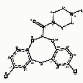 CN1CCN(C(=O)C2Oc3ccc(Cl)cc3Cc3cc(Cl)ccc3O2)CC1